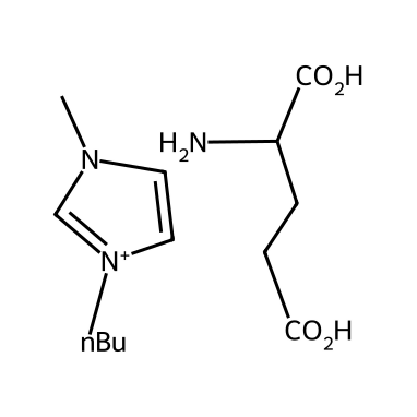 CCCC[n+]1ccn(C)c1.NC(CCC(=O)O)C(=O)O